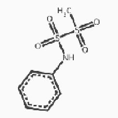 CS(=O)(=O)S(=O)(=O)Nc1ccccc1